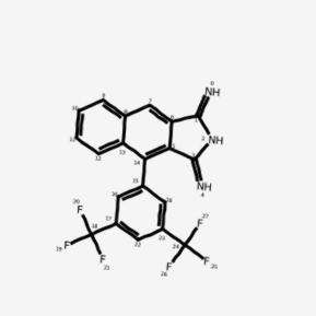 N=C1NC(=N)c2c1cc1ccccc1c2-c1cc(C(F)(F)F)cc(C(F)(F)F)c1